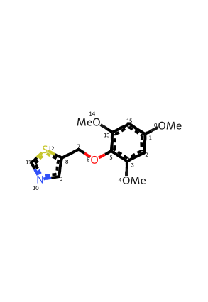 COc1cc(OC)c(OCc2cn[c]s2)c(OC)c1